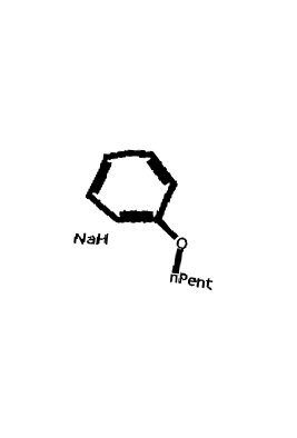 CCCCCOc1ccccc1.[NaH]